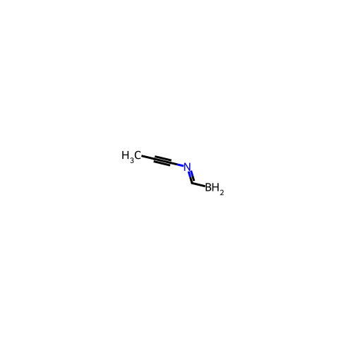 B/C=N/C#CC